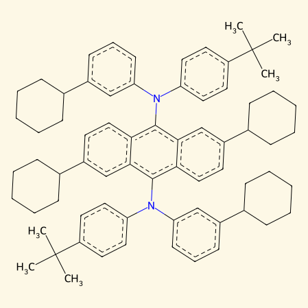 CC(C)(C)c1ccc(N(c2cccc(C3CCCCC3)c2)c2c3ccc(C4CCCCC4)cc3c(N(c3ccc(C(C)(C)C)cc3)c3cccc(C4CCCCC4)c3)c3ccc(C4CCCCC4)cc23)cc1